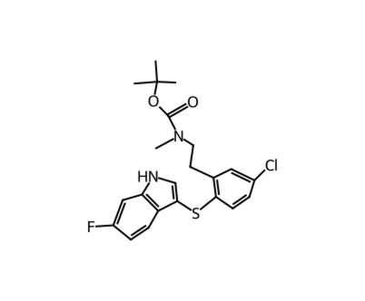 CN(CCc1cc(Cl)ccc1Sc1c[nH]c2cc(F)ccc12)C(=O)OC(C)(C)C